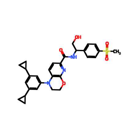 CS(=O)(=O)c1ccc(C(CO)NC(=O)c2ccc3c(n2)OCCN3c2cc(C3CC3)cc(C3CC3)c2)cc1